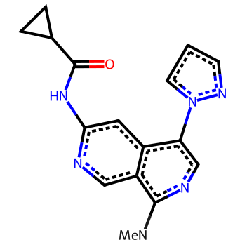 CNc1ncc(-n2cccn2)c2cc(NC(=O)C3CC3)ncc12